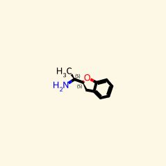 C[C@H](N)[C@@H]1Cc2ccccc2O1